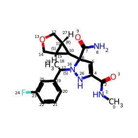 CNC(=O)C1=CC(C(N)=O)(C2[C@H]3COC[C@@H]23)N([C@@H](C)c2cccc(F)c2)N1